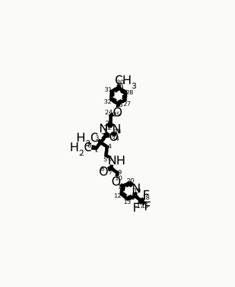 C=CC(C)(CCNC(=O)COc1ccc(C(F)(F)F)nc1)c1nc(COc2ccc(C)cc2)no1